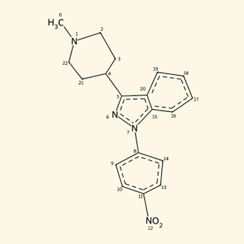 CN1CCC(c2nn(-c3ccc([N+](=O)[O-])cc3)c3ccccc23)CC1